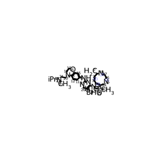 C=C1/C=C\C(Nc2nc(Nc3ccc4c(c3)OCCN4CCN(C)C(C)C)ncc2Br)=C(\P(C)(C)=O)C/N=C\C=N/1